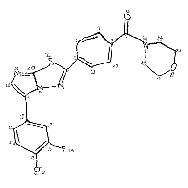 O=C(c1ccc(-c2nn3c(-c4ccc(C(F)(F)F)c(F)c4)cnc3s2)cc1)N1CCOCC1